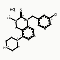 CC(C)N1Cc2c(N3CCNCC3)cccc2N(Cc2cccc(Cl)c2)C1=O.Cl